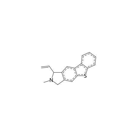 C=CC1c2cc3c(cc2CN1C)sc1ccccc13